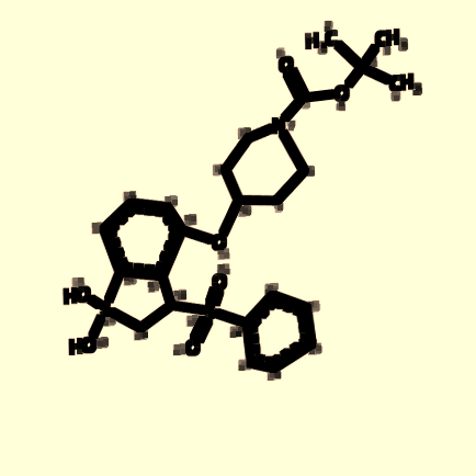 CC(C)(C)OC(=O)N1CCC(Oc2cccc3c2C(S(=O)(=O)c2ccccc2)CS3(O)O)CC1